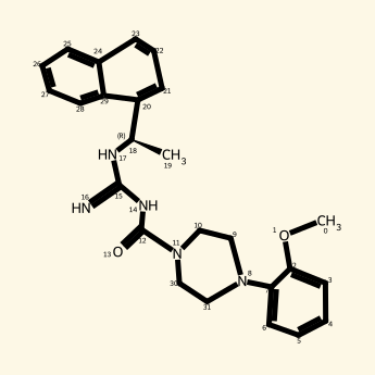 COc1ccccc1N1CCN(C(=O)NC(=N)N[C@H](C)c2cccc3ccccc23)CC1